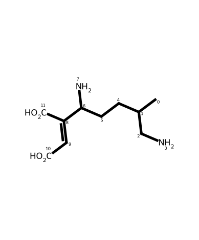 CC(CN)CCC(N)/C(=C/C(=O)O)C(=O)O